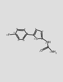 NC(=O)Nc1ccc(-c2ccc(F)cc2)s1